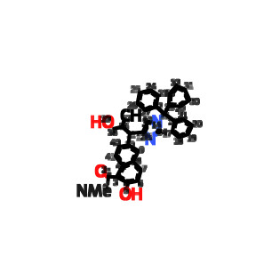 CNC(=O)c1c(O)ccc2cc(C(c3cn(C(c4ccccc4)(c4ccccc4)c4ccccc4)cn3)C(C)CO)ccc12